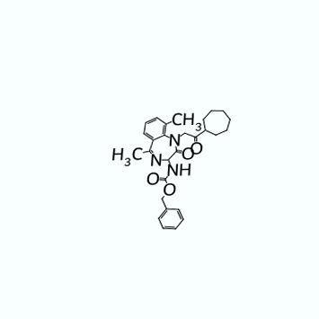 CC1=NC(NC(=O)OCc2ccccc2)C(=O)N(CC(=O)C2CCCCCC2)c2c(C)cccc21